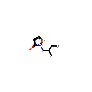 CCCCCCC(C)Cn1sccc1=O